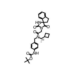 C[C@@H](C1CCC1)N(Cc1ccc(NC(=O)OC(C)(C)C)cc1)C(=O)CN1C(=O)NC2(CCc3ccccc32)C1=O